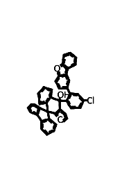 OC1(c2ccc(Cl)cc2-c2ccc3oc4ccccc4c3c2)c2ccccc2C2(c3ccccc3-c3ccccc32)c2ccccc21